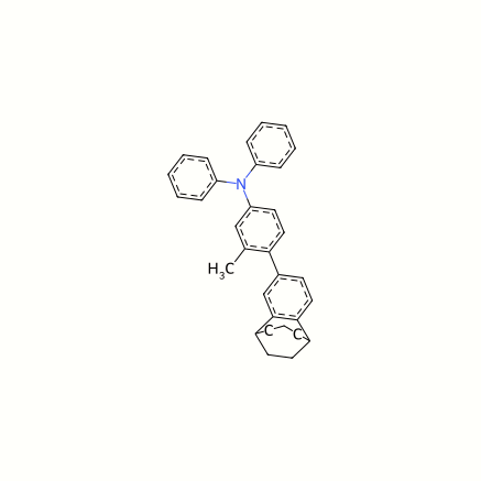 Cc1cc(N(c2ccccc2)c2ccccc2)ccc1-c1ccc2c(c1)C1CCCC2CC1